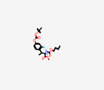 CCCCOC(=O)NC(C(=O)OC)C(C)c1ccc(OC(=O)OC(C)(C)C)cc1F